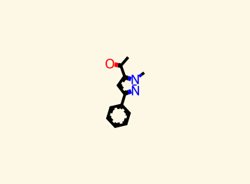 CC(=O)c1cc(-c2ccccc2)nn1C